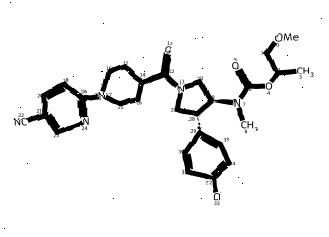 COCC(C)OC(=O)N(C)[C@@H]1CN(C(=O)C2CCN(c3ccc(C#N)cn3)CC2)C[C@H]1c1ccc(Cl)cc1